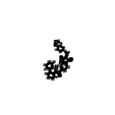 COc1ccc([C@@H]2C[C@H]2N2C(=O)[C@@H]3CN(C(=O)Nc4ccccc4-c4ccccc4)CCN3C2=O)cc1